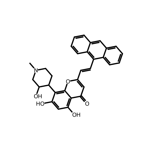 CN1CCC(c2c(O)cc(O)c3c(=O)cc(C=Cc4c5ccccc5cc5ccccc45)oc23)C(O)C1